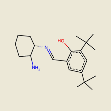 CC(C)(C)c1cc(/C=N/[C@H]2CCCCC2N)c(O)c(C(C)(C)C)c1